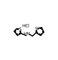 Cl.c1csc(CNCc2cccs2)c1